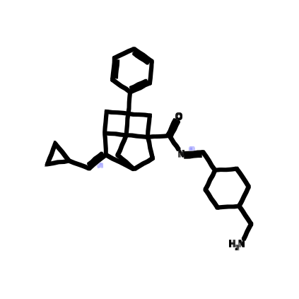 NCC1CCC(/C=N/C(=O)C23CC4CC25C(CC5(c2ccccc2)C3)/C4=C\C2CC2)CC1